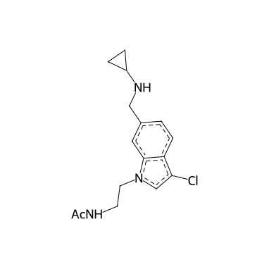 CC(=O)NCCn1cc(Cl)c2ccc(CNC3CC3)cc21